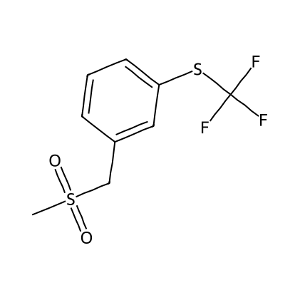 CS(=O)(=O)Cc1cccc(SC(F)(F)F)c1